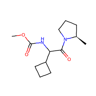 COC(=O)NC(C(=O)N1CCC[C@H]1C)C1CCC1